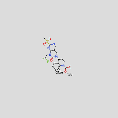 COc1cccc2c1N(C(=O)OC(C)(C)C)CCC2N1Cc2cnc(S(C)(=O)=O)nc2N(CC(F)F)C1=O